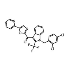 O=C(c1ncc(-c2ccccn2)o1)c1c(C(F)(F)F)n(Cc2ccc(Cl)cc2Cl)c2ccccc12